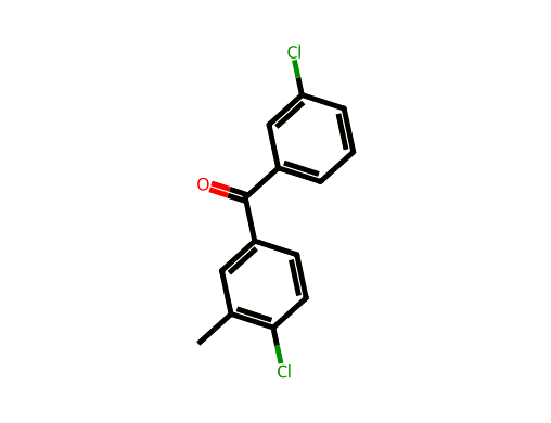 Cc1cc(C(=O)c2cccc(Cl)c2)ccc1Cl